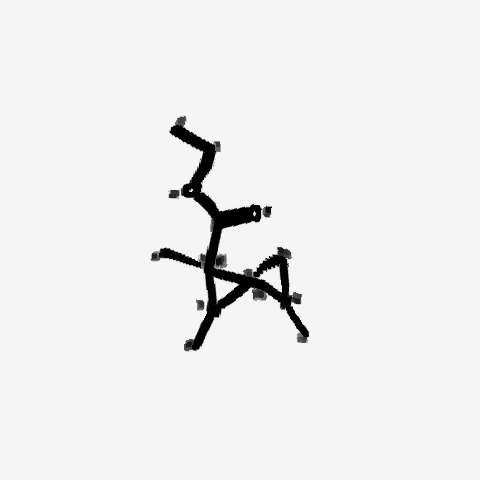 CCOC(=O)[C@]1(C)N(C)[C@@]12CN2C